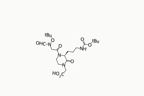 CC(C)(C)OC(=O)NCCC[C@H]1C(=O)N(CC(=O)O)CCN1C(=O)CN(C=O)OC(C)(C)C